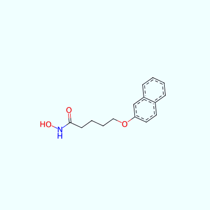 O=C(CCCCOc1ccc2ccccc2c1)NO